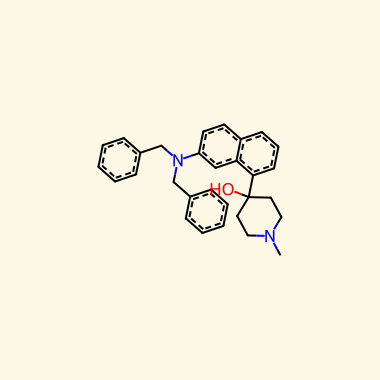 CN1CCC(O)(c2cccc3ccc(N(Cc4ccccc4)Cc4ccccc4)cc23)CC1